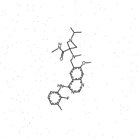 CNC(=O)C1(N(C)Cc2cc3c(Nc4cccc(C)c4F)ncnc3cc2OC)CN(C(C)C)C1